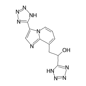 OC(Cc1cccn2c(-c3nnn[nH]3)cnc12)c1nnn[nH]1